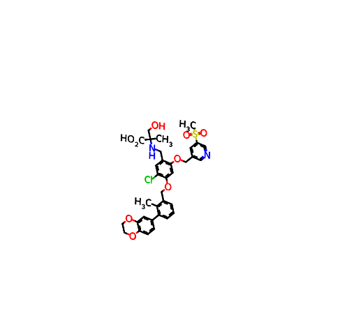 Cc1c(COc2cc(OCc3cncc(S(C)(=O)=O)c3)c(CN[C@@](C)(CO)C(=O)O)cc2Cl)cccc1-c1ccc2c(c1)OCCO2